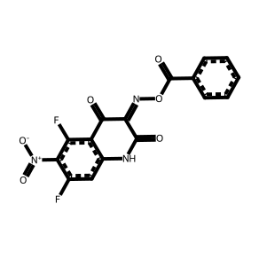 O=C1Nc2cc(F)c([N+](=O)[O-])c(F)c2C(=O)C1=NOC(=O)c1ccccc1